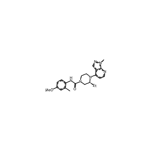 CC[C@H]1CN(C(=O)Nc2ccc(OC)cc2C)CCN1c1ccnc2c1cnn2C